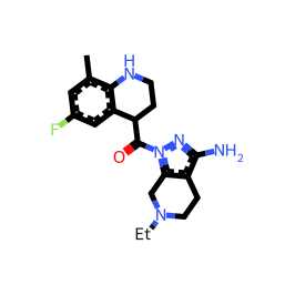 CCN1CCc2c(N)nn(C(=O)C3CCNc4c(C)cc(F)cc43)c2C1